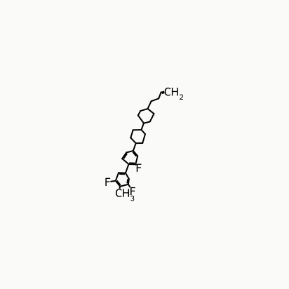 C=CCCC1CCC(C2CCC(c3ccc(-c4cc(F)c(C)c(F)c4)c(F)c3)CC2)CC1